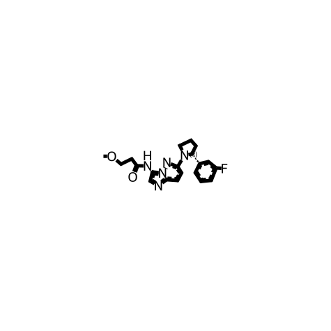 COCCC(=O)Nc1cnc2ccc(N3CCC[C@@H]3c3cccc(F)c3)nn12